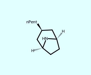 CCCCC[C@H]1C[C@H]2CC[C@@H](C1)N2